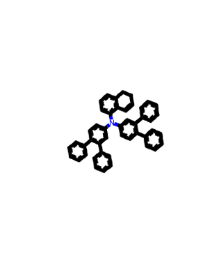 C1=Cc2c(cccc2N(c2ccc(-c3ccccc3)c(-c3ccccc3)c2)c2ccc(-c3ccccc3)c(-c3ccccc3)c2)CC1